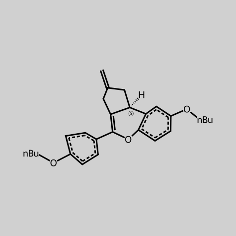 C=C1CC2=C(c3ccc(OCCCC)cc3)Oc3ccc(OCCCC)cc3[C@@H]2C1